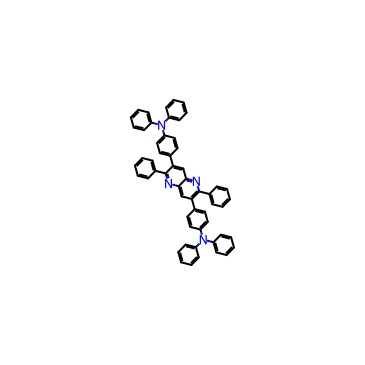 c1ccc(-c2nc3cc(-c4ccc(N(c5ccccc5)c5ccccc5)cc4)c(-c4ccccc4)nc3cc2-c2ccc(N(c3ccccc3)c3ccccc3)cc2)cc1